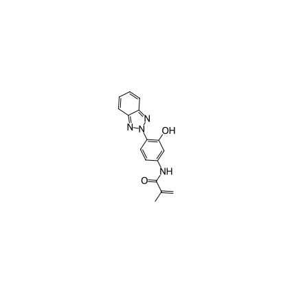 C=C(C)C(=O)Nc1ccc(-n2nc3ccccc3n2)c(O)c1